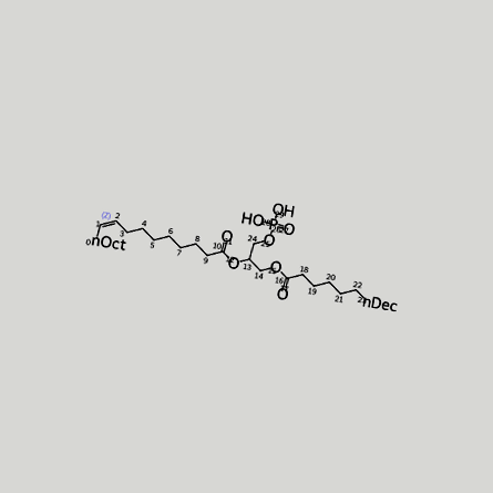 CCCCCCCC/C=C\CCCCCCCC(=O)OC(COC(=O)CCCCCCCCCCCCCCC)COP(=O)(O)O